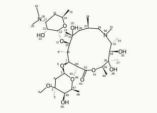 CO[C@@]1(C)C[C@@H](O[C@H]2[C@H](C)[C@@H](O[C@H]3O[C@H](C)C[C@@H](N(C)C)[C@H]3O)[C@](C)(O)C[C@@H](C)CN(C)[C@H](C)[C@@H](O)[C@@](C)(O)[C@@H](C)OC(=O)[C@@H]2C)O[C@@H](C)[C@H]1O